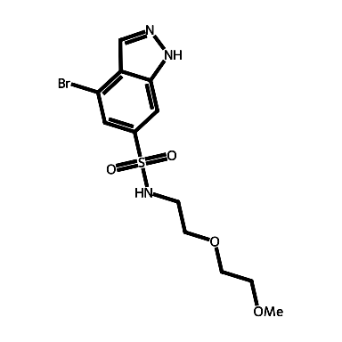 COCCOCCNS(=O)(=O)c1cc(Br)c2cn[nH]c2c1